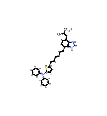 [C-]#[N+]/C(=C\c1ccc(/C=C/C=C/C=C/c2ccc(N(c3ccccc3)c3ccccc3)s2)c2c1=NCN=2)C(=O)O